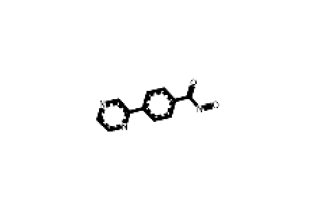 O=NC(=O)c1ccc(-c2cnccn2)cc1